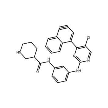 O=C(Nc1cccc(Nc2ncc(Cl)c(-c3cc#cc4ccccc34)n2)c1)C1CCCNC1